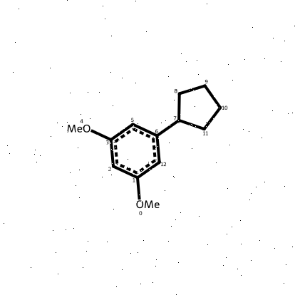 COc1cc(OC)cc([C]2CCCC2)c1